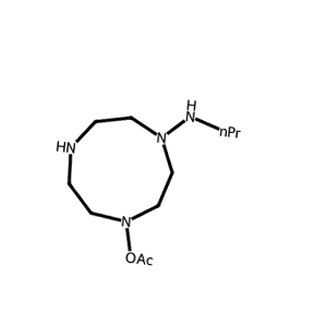 CCCNN1CCNCCN(OC(C)=O)CC1